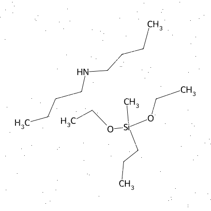 CCCCNCCCC.CCC[Si](C)(OCC)OCC